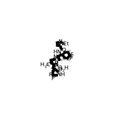 CCn1nccc1C(=O)N[C@H](c1cn2nc(CC3(C(=O)O)CC(F)(F)CNC3=O)c(C)cc2n1)C1CCC(F)(F)CC1